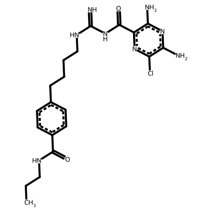 CCCNC(=O)c1ccc(CCCCNC(=N)NC(=O)c2nc(Cl)c(N)nc2N)cc1